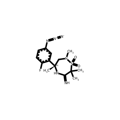 CN1C[C@@](C)(c2cc(N=[N+]=[N-])ccc2F)NC(=N)C(C)(C)S1(=O)=O